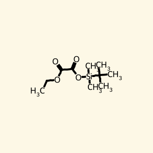 CCOC(=O)C(=O)O[Si](C)(C)C(C)(C)C